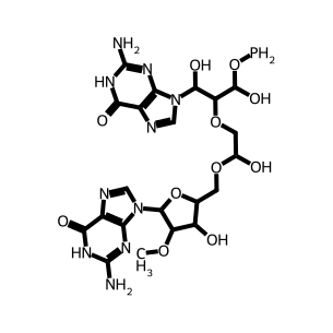 COC1C(O)C(COC(O)COC(C(O)OP)C(O)n2cnc3c(=O)[nH]c(N)nc32)OC1n1cnc2c(=O)[nH]c(N)nc21